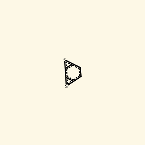 c1cc2sc2c2sc12